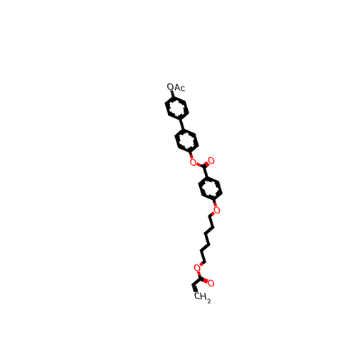 C=CC(=O)OCCCCCCOc1ccc(C(=O)Oc2ccc(-c3ccc(OC(C)=O)cc3)cc2)cc1